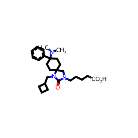 CN(C)C1(c2ccccc2)CCC2(CC1)CN(CCCCC(=O)O)C(=O)N2CC1CCC1